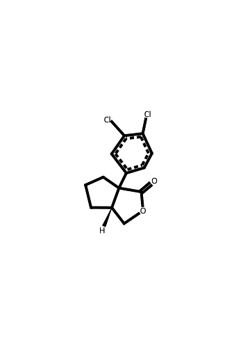 O=C1OC[C@@H]2CCCC12c1ccc(Cl)c(Cl)c1